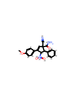 COc1ccc(C2=CC(C#N)(C(N)=O)C(c3ccccc3)C2[N+](=O)[O-])cc1